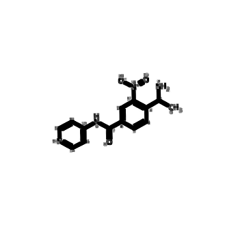 CC(N)c1ccc(C(=O)Nc2ccncc2)cc1[N+](=O)[O-]